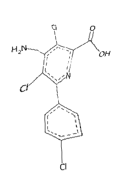 Nc1c(Cl)c(C(=O)O)nc(-c2ccc(Cl)cc2)c1Cl